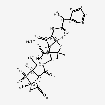 CC1(C)S[C@@H]2[C@H](NC(=O)C(N)c3ccccc3)C(=O)N2[C@@]1(COC(=O)C1N2C(=O)C[C@@H]2S(=O)(=O)[C@@]1(C)CCl)C(=O)O.Cl